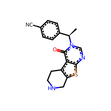 C[C@H](c1ccc(C#N)cc1)n1cnc2sc3c(c2c1=O)CCNC3